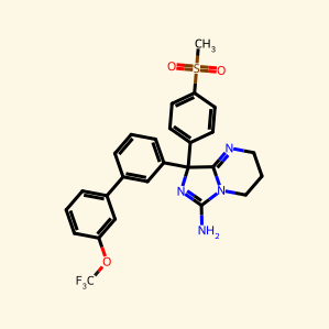 CS(=O)(=O)c1ccc(C2(c3cccc(-c4cccc(OC(F)(F)F)c4)c3)N=C(N)N3CCCN=C32)cc1